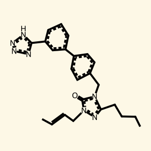 C/C=C/Cn1nc(CCCC)n(Cc2ccc(-c3cccc(-c4nnn[nH]4)c3)cc2)c1=O